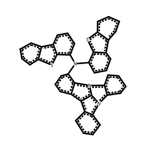 c1ccc2c(c1)sc1c(N(c3cccc4c3sc3ccccc34)c3cccc4c5c6ccccc6n6c7ccccc7n(c34)c56)cccc12